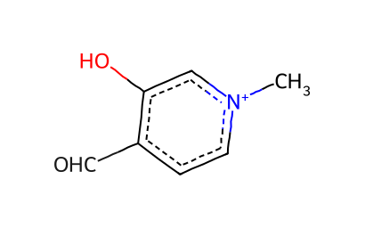 C[n+]1ccc(C=O)c(O)c1